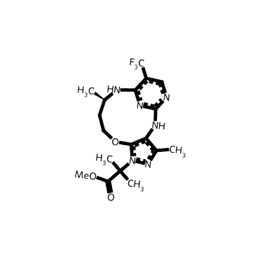 COC(=O)C(C)(C)n1nc(C)c2c1OCC[C@@H](C)Nc1nc(ncc1C(F)(F)F)N2